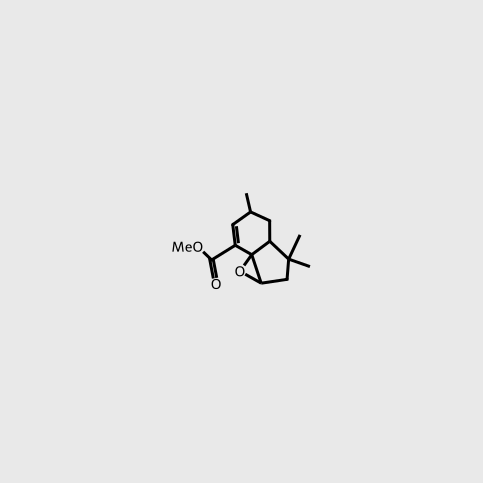 COC(=O)C1=CC(C)CC2C(C)(C)CC3OC132